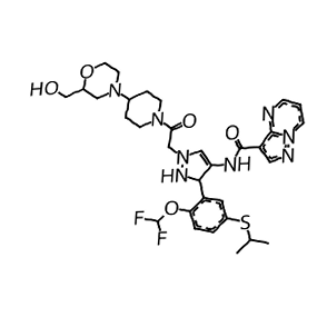 CC(C)Sc1ccc(OC(F)F)c(C2NN(CC(=O)N3CCC(N4CCOC(CO)C4)CC3)C=C2NC(=O)c2cnn3cccnc23)c1